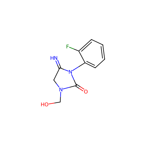 N=C1CN(CO)C(=O)N1c1ccccc1F